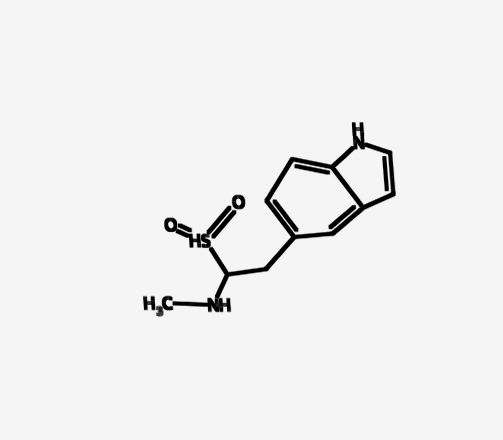 CNC(Cc1ccc2[nH]ccc2c1)[SH](=O)=O